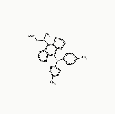 COCC(C)c1c2ccccc2c(N(c2ccc(C)cc2)c2ccc(C)cc2)c2ccccc12